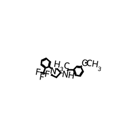 COc1cccc([C@@H](C)N[C@@H]2CCN(c3ccccc3C(F)(F)F)C2)c1